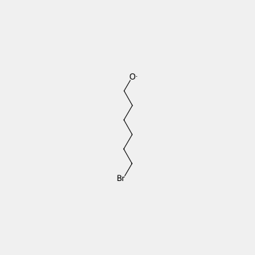 [O]CCCCCCBr